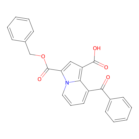 O=C(O)c1cc(C(=O)OCc2ccccc2)n2cccc(C(=O)c3ccccc3)c12